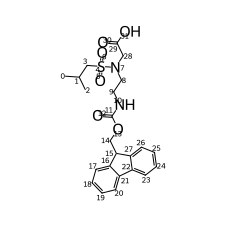 CC(C)CS(=O)(=O)N(CCNC(=O)OCC1c2ccccc2-c2ccccc21)CC(=O)O